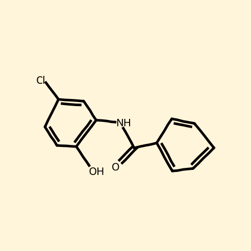 O=C(Nc1cc(Cl)ccc1O)c1ccccc1